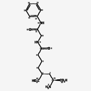 N[C@@H](CC(CCCC(=O)NCC(=O)Nc1ccccc1)C(=O)O)C(=O)O